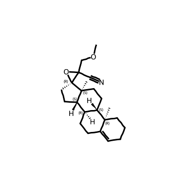 COCC1(C#N)O[C@@]12CC[C@H]1[C@@H]3CCC4=CCCC[C@]4(C)[C@H]3CC[C@@]12C